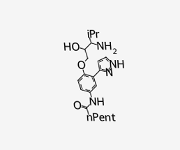 CCCCCC(=O)Nc1ccc(OCC(O)C(N)C(C)C)c(-c2cc[nH]n2)c1